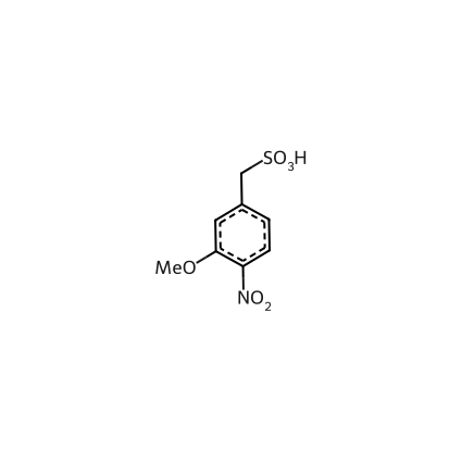 COc1cc(CS(=O)(=O)O)ccc1[N+](=O)[O-]